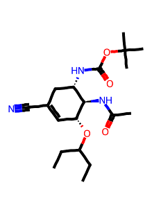 CCC(CC)O[C@@H]1C=C(C#N)C[C@H](NC(=O)OC(C)(C)C)[C@H]1NC(C)=O